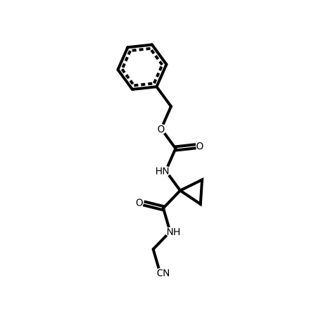 N#CCNC(=O)C1(NC(=O)OCc2ccccc2)CC1